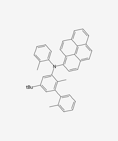 Cc1ccccc1-c1cc(C(C)(C)C)cc(N(c2ccccc2C)c2ccc3ccc4cccc5ccc2c3c45)c1C